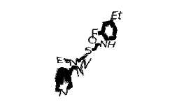 CCc1ccc(NC(=O)CSc2nnc(-c3cccnc3)n2CC)c(F)c1